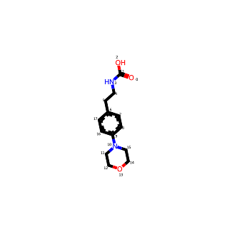 O=C(O)NCCc1ccc(N2CCOCC2)cc1